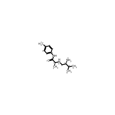 [CH2]c1ccc(NC(=O)[C@H](C)NC[C@@H](N)C(C)C)cc1